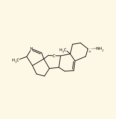 CC1N=CC23CCC4C(CC=C5C[C@@H](N)CCC54C)C2CCC13